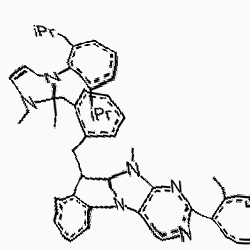 Cc1ccccc1-c1ncc2c(n1)N(C)C1C(Cc3ccccc3C3(C)N(C)C=CN3c3c(C(C)C)cccc3C(C)C)c3ccccc3N21